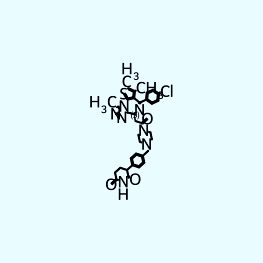 Cc1sc2c(c1C)C(c1ccc(Cl)cc1)=N[C@@H](CC(=O)N1CCN(Cc3ccc(C4CCC(=O)NC4=O)cc3)CC1)c1nnc(C)n1-2